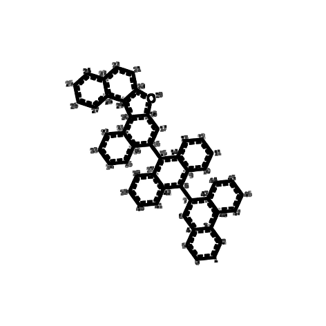 c1ccc2c(c1)cc(-c1c3ccccc3c(-c3cc4oc5ccc6ccccc6c5c4c4ccccc34)c3ccccc13)c1ccccc12